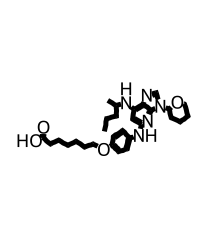 CCCC(C)Nc1cc(Nc2ccc(OCCCCCCC(=O)O)cc2)nc2c1ncn2C1CCCCO1